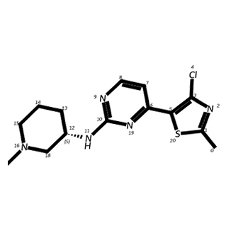 Cc1nc(Cl)c(-c2ccnc(N[C@H]3CCCN(C)C3)n2)s1